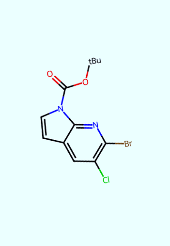 CC(C)(C)OC(=O)n1ccc2cc(Cl)c(Br)nc21